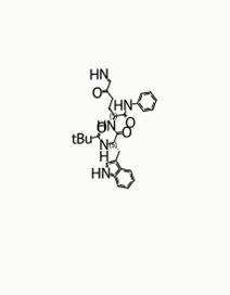 CC(C)(C)C(=O)N[C@@H](Cc1c[nH]c2ccccc12)C(=O)N[C@@H](CCC(=O)C=N)C(=O)Nc1ccccc1